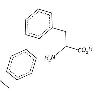 CCl.NC(Cc1ccccc1)C(=O)O.c1ccccc1